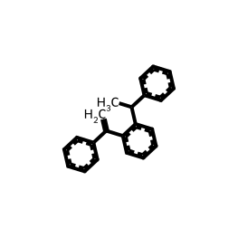 C=C(c1ccccc1)c1ccccc1C(C)c1ccccc1